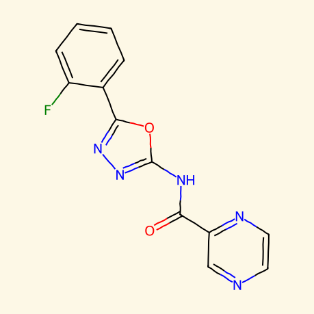 O=C(Nc1nnc(-c2ccccc2F)o1)c1cnccn1